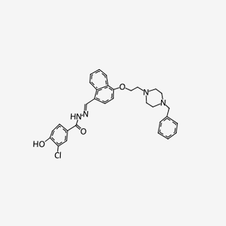 O=C(N/N=C/c1ccc(OCCN2CCN(Cc3ccccc3)CC2)c2ccccc12)c1ccc(O)c(Cl)c1